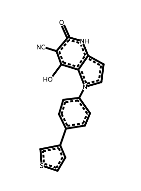 N#Cc1c(O)c2c(ccn2-c2ccc(-c3ccsc3)cc2)[nH]c1=O